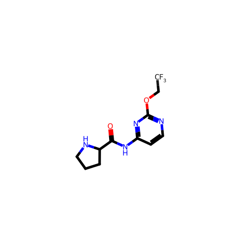 O=C(Nc1ccnc(OCC(F)(F)F)n1)C1CCCN1